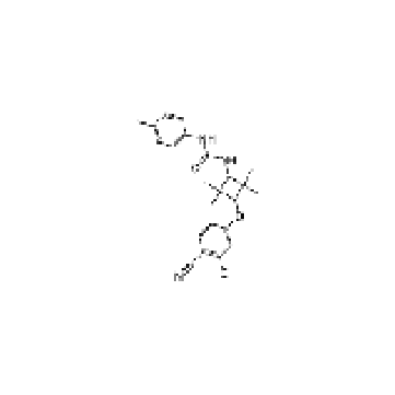 CC1(C)C(NC(=O)Nc2ccc(I)cc2)C(C)(C)C1Oc1ccc(C#N)c(Cl)c1